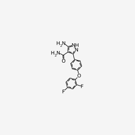 NC(=O)c1c(-c2ccc(Oc3ccc(F)cc3F)cc2)n[nH]c1N